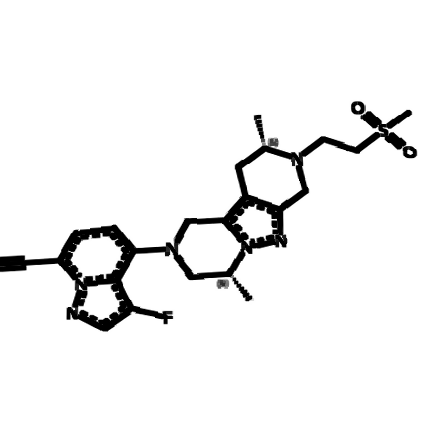 C[C@@H]1CN(c2ccc(C#N)n3ncc(F)c23)Cc2c3c(nn21)CN(CCS(C)(=O)=O)[C@@H](C)C3